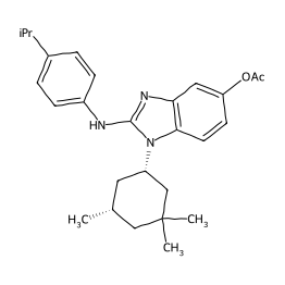 CC(=O)Oc1ccc2c(c1)nc(Nc1ccc(C(C)C)cc1)n2[C@H]1C[C@@H](C)CC(C)(C)C1